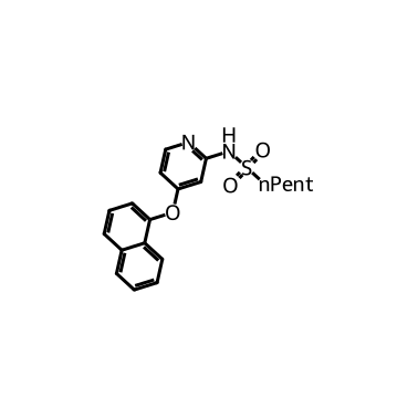 CCCCCS(=O)(=O)Nc1cc(Oc2cccc3ccccc23)ccn1